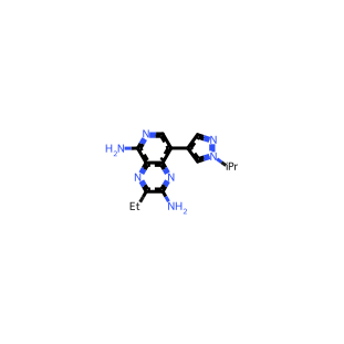 CCc1nc2c(N)ncc(-c3cnn(C(C)C)c3)c2nc1N